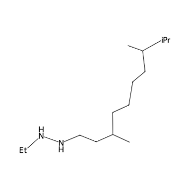 CCNNCCC(C)CCCCC(C)C(C)C